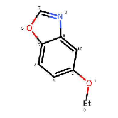 CCOc1ccc2ocnc2c1